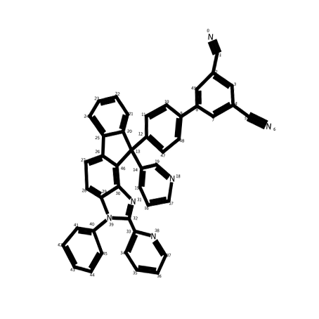 N#Cc1cc(C#N)cc(-c2ccc(C3(c4cccnc4)c4ccccc4-c4ccc5c(nc(-c6ccccn6)n5-c5ccccc5)c43)cc2)c1